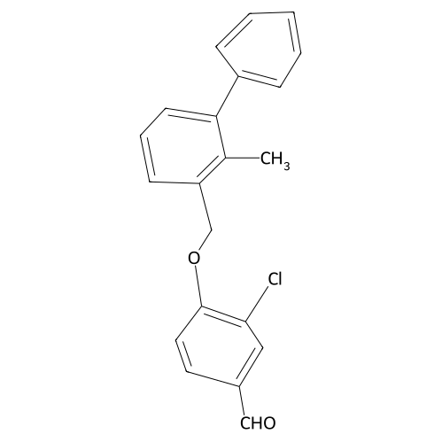 Cc1c(COc2ccc(C=O)cc2Cl)cccc1-c1ccccc1